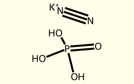 N#N.O=P(O)(O)O.[K+]